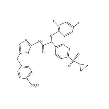 CCOC(=O)c1ccc(Cc2cnc(NC(=O)C(Oc3ccc(F)cc3F)c3ccc(S(=O)(=O)C4CC4)cc3)s2)cc1